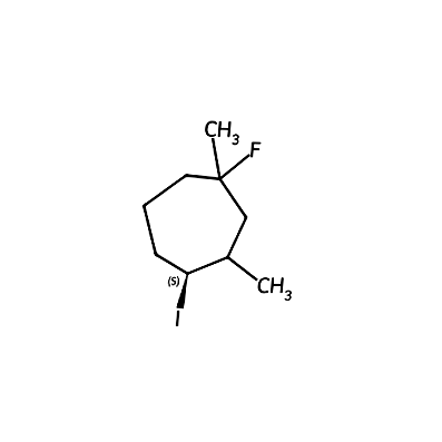 CC1CC(C)(F)CCC[C@@H]1I